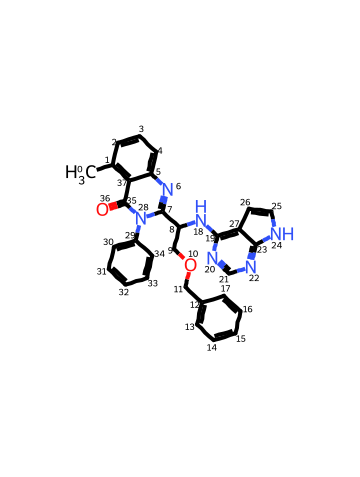 Cc1cccc2nc(C(COCc3ccccc3)Nc3ncnc4[nH]ccc34)n(-c3ccccc3)c(=O)c12